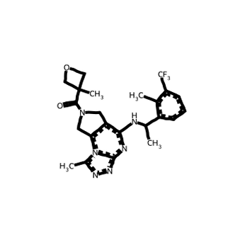 Cc1c(C(C)Nc2nc3nnc(C)n3c3c2CN(C(=O)C2(C)COC2)C3)cccc1C(F)(F)F